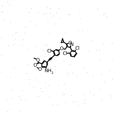 COC(=O)c1cc(C#Cc2ccc(OCc3c(-c4c(Cl)cccc4Cl)noc3C3CC3)cc2Cl)cc(N)c1OC